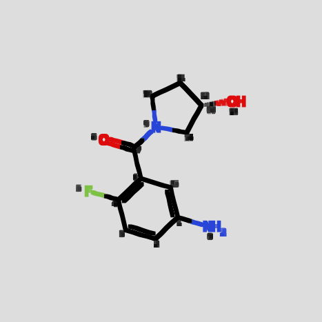 Nc1ccc(F)c(C(=O)N2CC[C@H](O)C2)c1